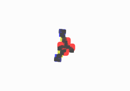 C=CC(=O)OCC(COC(=O)C=C)(COC(=O)CCSCCN(CC)CC)COC(=O)CCSCCN(CC)CC